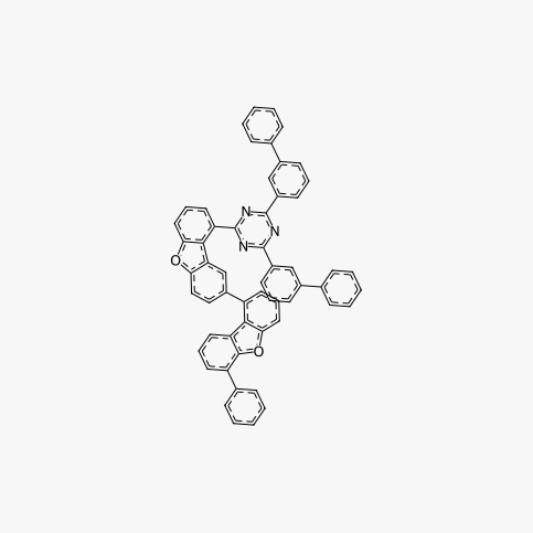 c1ccc(-c2cccc(-c3nc(-c4cccc(-c5ccccc5)c4)nc(-c4cccc5oc6ccc(-c7cccc8oc9c(-c%10ccccc%10)cccc9c78)cc6c45)n3)c2)cc1